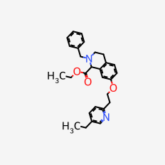 CCOC(=O)C1c2cc(OCCc3ccc(CC)cn3)ccc2CCN1Cc1ccccc1